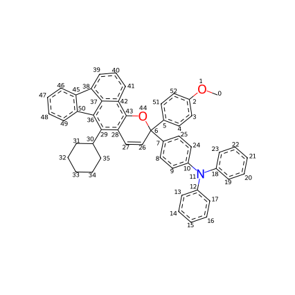 COc1ccc(C2(c3ccc(N(c4ccccc4)c4ccccc4)cc3)C=Cc3c(C4CCCCC4)c4c5c(cccc5c3O2)-c2ccccc2-4)cc1